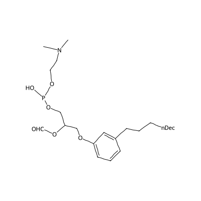 CCCCCCCCCCCCCc1cccc(OCC(COP(O)OCCN(C)C)OC=O)c1